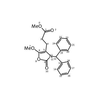 COC(=O)CCc1c(OC)oc(=O)n1C(c1ccccc1)c1ccccc1